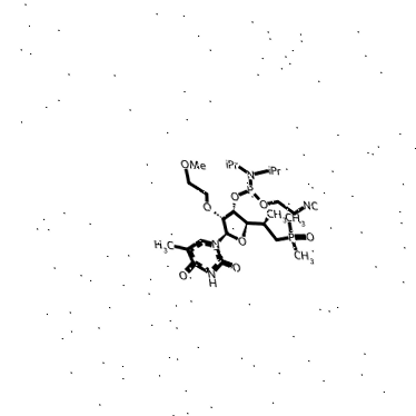 [C-]#[N+]CCOP(O[C@H]1[C@@H](OCCOC)[C@H](n2cc(C)c(=O)[nH]c2=O)O[C@@H]1[C@@H](C)CP(C)(C)=O)N(C(C)C)C(C)C